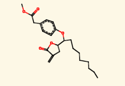 C=C1CC(C(CCCCCCCC)Oc2ccc(CC(=O)OC)cc2)OC1=O